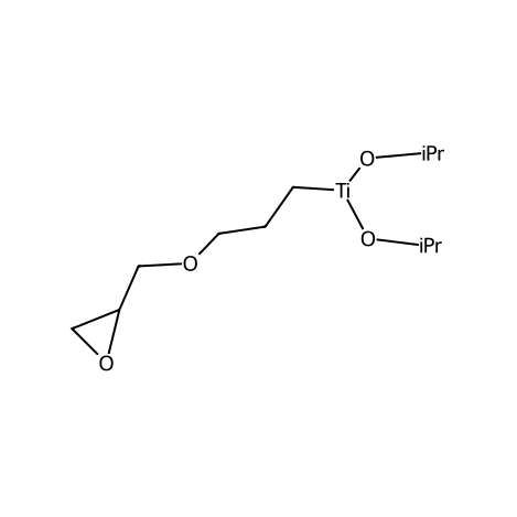 CC(C)[O][Ti]([CH2]CCOCC1CO1)[O]C(C)C